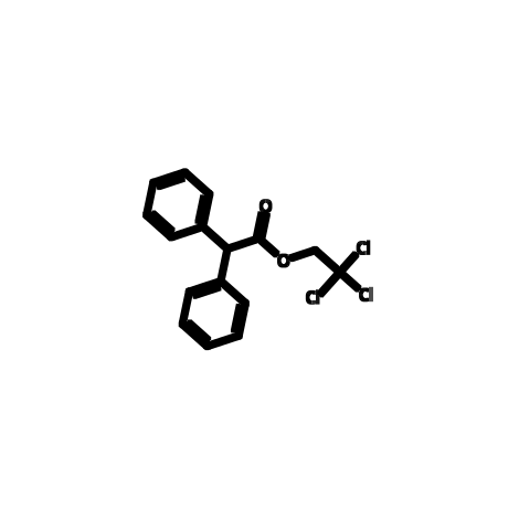 O=C(OCC(Cl)(Cl)Cl)C(c1ccccc1)c1ccccc1